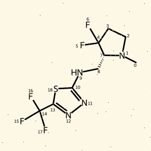 CN1CCC(F)(F)[C@H]1CNc1nnc(C(F)(F)F)s1